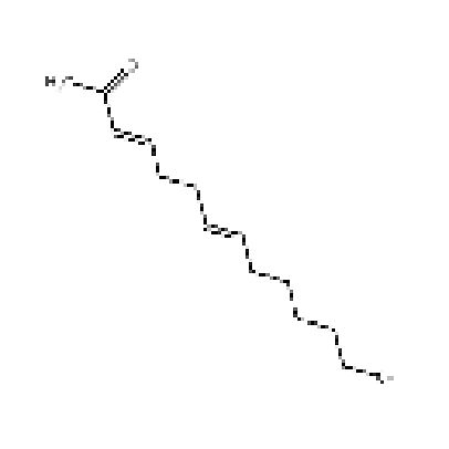 CCCCCCC=CCCC=CC(C)=O